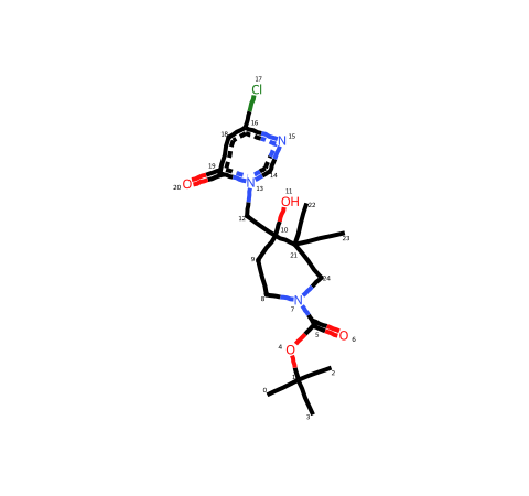 CC(C)(C)OC(=O)N1CCC(O)(Cn2cnc(Cl)cc2=O)C(C)(C)C1